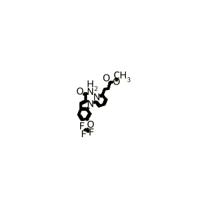 COC(=O)CCc1cccc(-n2c(C(N)=O)cc3ccc(OC(F)(F)F)cc32)n1